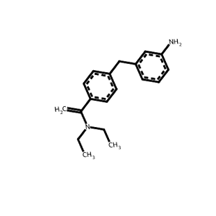 C=C(c1ccc(Cc2cccc(N)c2)cc1)N(CC)CC